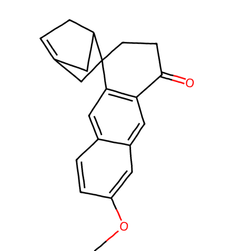 COc1ccc2cc3c(cc2c1)C(=O)CCC31CC2=CCC1C2